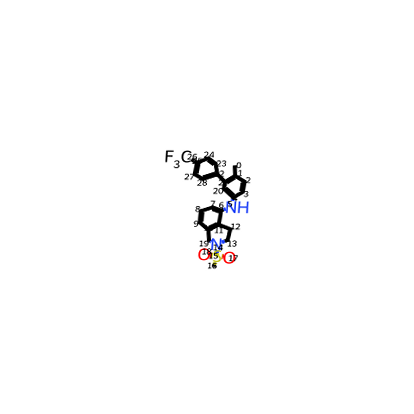 Cc1ccc(Nc2cccc3c2CCN(S(C)(=O)=O)C3)cc1-c1ccc(C(F)(F)F)cc1